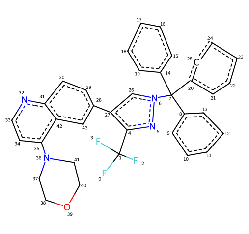 FC(F)(F)c1nn(C(c2ccccc2)(c2ccccc2)c2ccccc2)cc1-c1ccc2nccc(N3CCOCC3)c2c1